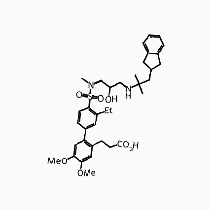 CCc1cc(-c2cc(OC)c(OC)cc2CCC(=O)O)ccc1S(=O)(=O)N(C)CC(O)CNC(C)(C)CC1Cc2ccccc2C1